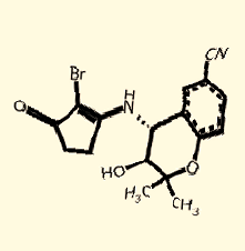 CC1(C)Oc2ccc(C#N)cc2[C@@H](NC2=C(Br)C(=O)CC2)[C@@H]1O